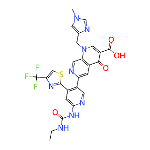 CCNC(=O)Nc1cc(-c2nc(C(F)(F)F)cs2)c(-c2cc3c(=O)c(C(=O)O)cn(Cc4cn(C)cn4)c3cn2)cn1